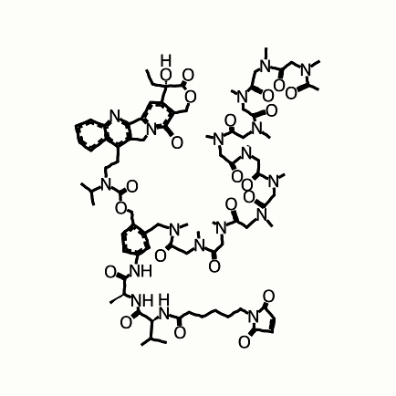 CC[C@@]1(O)C(=O)OCc2c1cc1n(c2=O)Cc2c-1nc1ccccc1c2CCN(C(=O)OCc1ccc(NC(=O)[C@H](C)NC(=O)[C@@H](NC(=O)CCCCCN2C(=O)C=CC2=O)C(C)C)cc1CN(C)C(=O)CN(C)C(=O)CN(C)C(=O)CN(C)C(=O)CN(C)C(=O)CN(C)C(=O)CN(C)C(=O)CN(C)C(=O)CN(C)C(=O)CN(C)C(=O)CN(C)C(C)=O)C(C)C